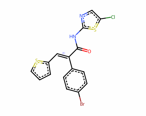 O=C(Nc1ncc(Cl)s1)/C(=C/c1cccs1)c1ccc(Br)cc1